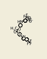 CC(O[C@H]1CC[C@H](Nc2ccc([N+](=O)[O-])c(C(F)(F)F)c2)CC1)C(=O)N1CCN(c2ccc3cc(C(F)(F)F)ccc3n2)CC1